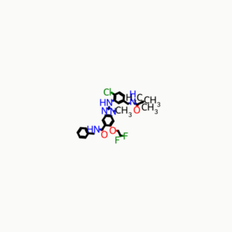 Cn1c(Nc2cc(CNC(=O)C(C)(C)C)ccc2Cl)nc2cc(C(=O)NCc3ccccc3)c(OCC(F)F)cc21